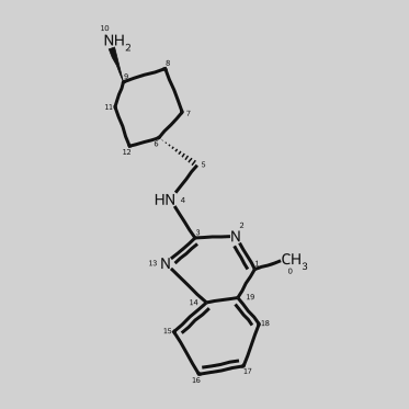 Cc1nc(NC[C@H]2CC[C@H](N)CC2)nc2ccccc12